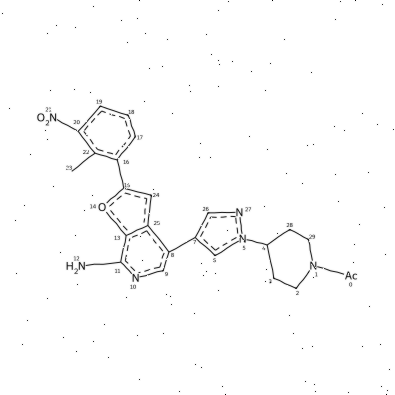 CC(=O)N1CCC(n2cc(-c3cnc(N)c4oc(-c5cccc([N+](=O)[O-])c5C)cc34)cn2)CC1